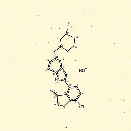 Cl.O=C1NCc2c(Cl)ccc(-c3cc4cc(CN5CCCC(O)C5)ccc4[nH]3)c21